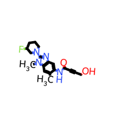 Cc1cc2c(cc1NC(=O)C#CCO)nc(N1CCCC(F)C1)n2C